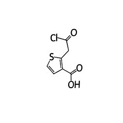 O=C(Cl)Cc1sccc1C(=O)O